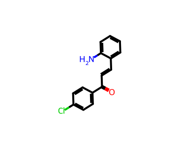 Nc1ccccc1C=CC(=O)c1ccc(Cl)cc1